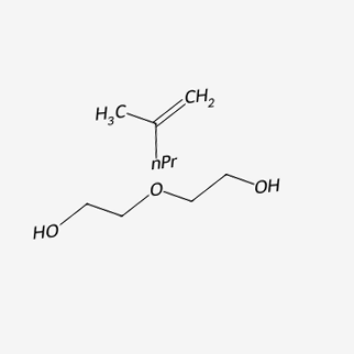 C=C(C)CCC.OCCOCCO